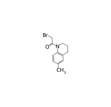 Cc1ccc2c(c1)CCCN2C(=O)CBr